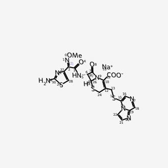 CO/N=C(\C(=O)N[C@@H]1C(=O)N2C(C(=O)[O-])=C(CSc3cncc4nccn34)CS[C@@H]12)c1csc(N)n1.[Na+]